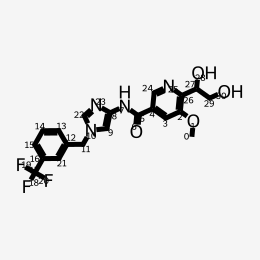 COc1cc(C(=O)Nc2cn(Cc3cccc(C(F)(F)F)c3)cn2)cnc1C(O)CO